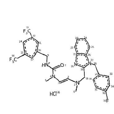 CN(/C=C/N(C)C(=O)NCc1cc(C(F)(F)F)cc(C(F)(F)F)c1)Cc1nc2ccccc2n1Cc1ccc(F)cc1.Cl